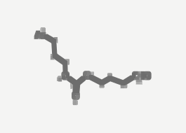 CC(=O)CCCOC(=O)OCCCC=O